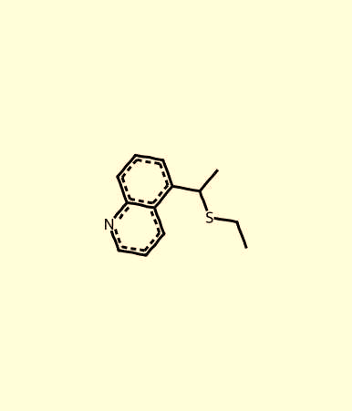 CCSC(C)c1cccc2ncccc12